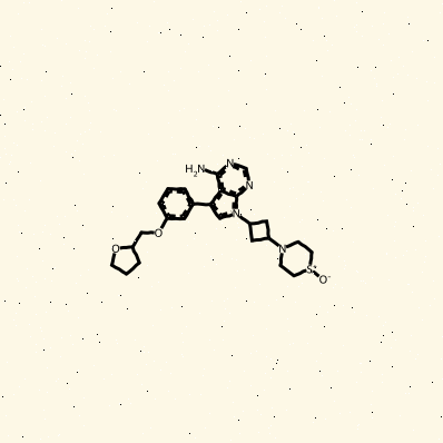 Nc1ncnc2c1c(-c1cccc(OCC3CCCO3)c1)cn2C1CC(N2CC[S+]([O-])CC2)C1